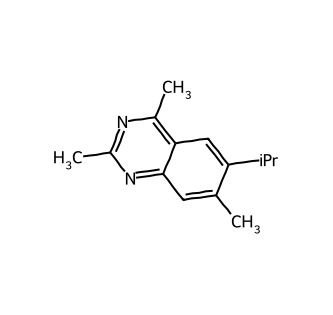 Cc1nc(C)c2cc(C(C)C)c(C)cc2n1